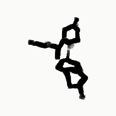 C[C@H]1CC[C@H](c2ccc3sc(Br)cc3c2)N(C(=O)OC(C)(C)C)C1